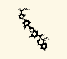 CCc1cc(C(=O)N2CCc3ccccc3[C@H]2C)cc2cc(-c3ccc(N4CCC(C(=O)OC)C4)cc3F)nn12